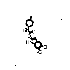 CC1CCC(NC(=O)Oc2cc3cc(Cl)c(Cl)cc3[nH]2)CC1